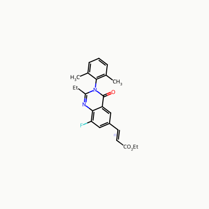 CCOC(=O)/C=C/c1cc(F)c2nc(CC)n(-c3c(C)cccc3C)c(=O)c2c1